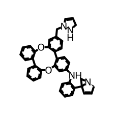 C1=CN(Cc2ccc3c(c2)Oc2ccccc2-c2ccccc2Oc2cc(Nc4ccccc4C45C=CC[N@@]4C5)ccc2-3)NC1